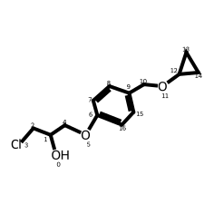 OC(CCl)COc1ccc(COC2CC2)cc1